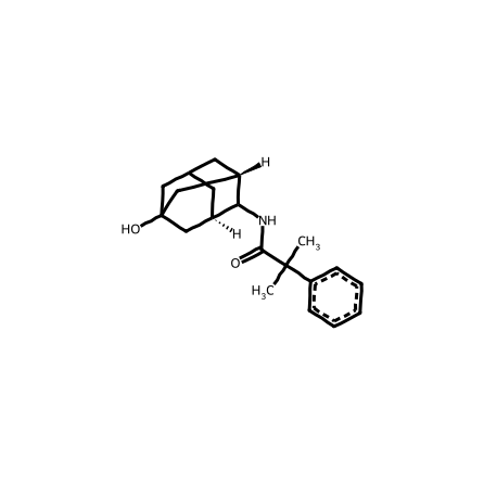 CC(C)(C(=O)NC1[C@@H]2CC3C[C@H]1CC(O)(C3)C2)c1ccccc1